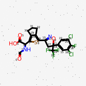 O=CNC(C(=O)O)c1sc(C2=NOC(c3cc(Cl)c(F)c(Cl)c3)(C(F)(F)F)C2)c2c1CCC2